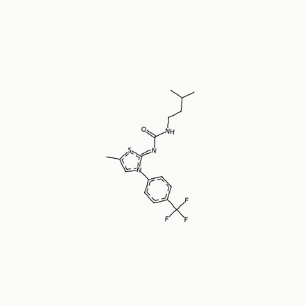 Cc1cn(-c2ccc(C(F)(F)F)cc2)c(=NC(=O)NCCC(C)C)s1